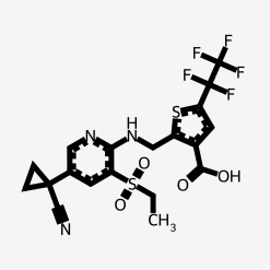 CCS(=O)(=O)c1cc(C2(C#N)CC2)cnc1NCc1sc(C(F)(F)C(F)(F)F)cc1C(=O)O